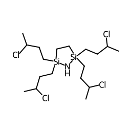 CC(Cl)CC[Si]1(CCC(C)Cl)CC[Si](CCC(C)Cl)(CCC(C)Cl)N1